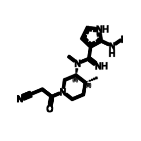 C[C@@H]1CCN(C(=O)CC#N)C[C@@H]1N(C)C(=N)c1cc[nH]c1NI